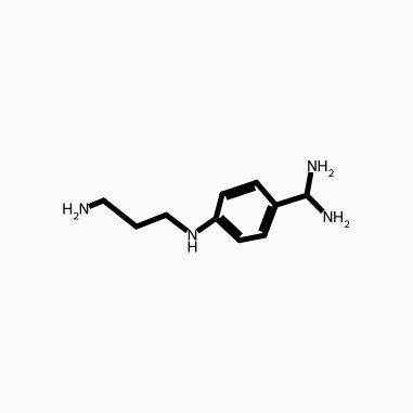 NCCCNc1ccc(C(N)N)cc1